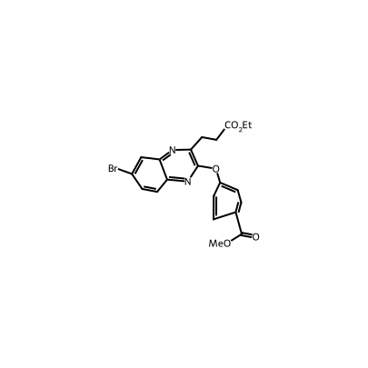 CCOC(=O)CCc1nc2cc(Br)ccc2nc1Oc1ccc(C(=O)OC)cc1